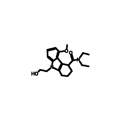 CCN(CC)C(=O)C1CCCc2c1c1c(OC)cccc1n2CCO